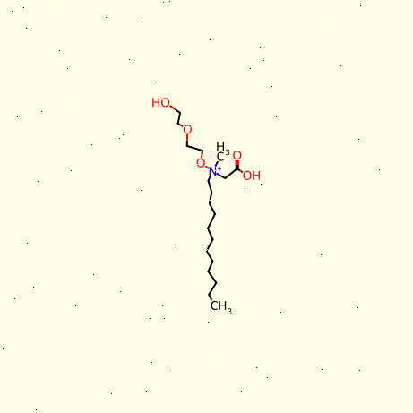 CCCCCCCCCCCC[N+](C)(CC(=O)O)OCCOCCO